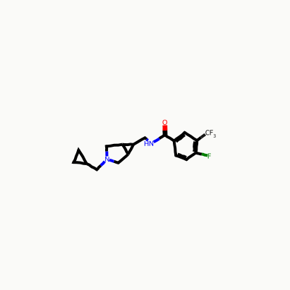 O=C(NCC1C2CN(CC3CC3)CC12)c1ccc(F)c(C(F)(F)F)c1